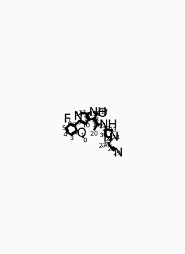 COc1cccc(F)c1-c1cc2c(cn1)NC(=O)/C2=C(/C)Nc1cnn([C@@H](C)C#N)c1